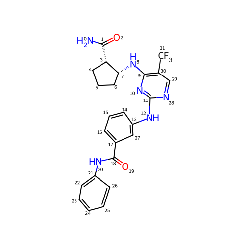 NC(=O)[C@H]1CCC[C@H]1Nc1nc(Nc2cccc(C(=O)Nc3ccccc3)c2)ncc1C(F)(F)F